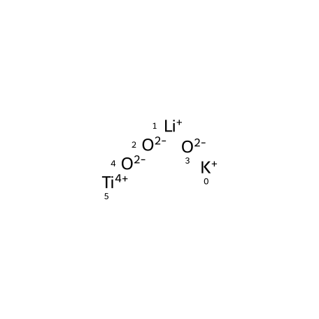 [K+].[Li+].[O-2].[O-2].[O-2].[Ti+4]